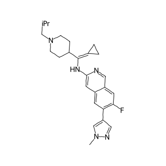 CC(C)CN1CCC(C(Nc2cc3cc(-c4cnn(C)c4)c(F)cc3cn2)=C2CC2)CC1